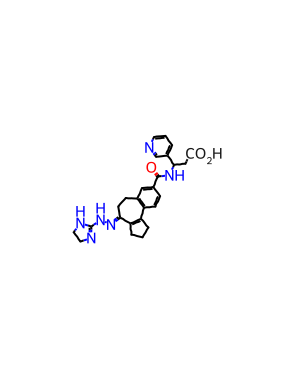 O=C(O)CC(NC(=O)c1ccc2c(c1)CCC(=NNC1=NCCN1)C1=C2CCC1)c1cccnc1